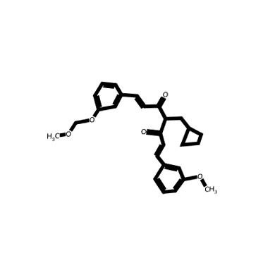 COCOc1cccc(/C=C/C(=O)C(CC2CCC2)C(=O)/C=C/c2cccc(OC)c2)c1